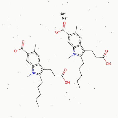 CCCCCc1c(CCC(=O)O)c2cc(C)c(C(=O)[O-])cc2n1C.CCCCCc1c(CCC(=O)O)c2cc(C)c(C(=O)[O-])cc2n1C.[Na+].[Na+]